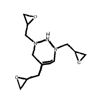 C1=C(CC2CO2)CN(CC2CO2)NN1CC1CO1